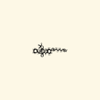 CC(C)(C)OC(=O)NC(Cc1ccc(OCCCCCCBr)cc1)C(=O)OCc1ccccc1